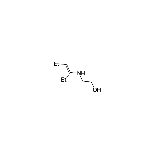 CC/C=C(\CC)NCCO